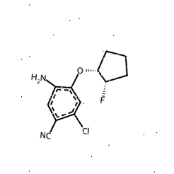 N#Cc1cc(N)c(O[C@@H]2CCC[C@@H]2F)cc1Cl